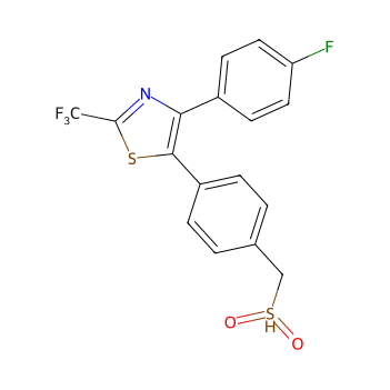 O=[SH](=O)Cc1ccc(-c2sc(C(F)(F)F)nc2-c2ccc(F)cc2)cc1